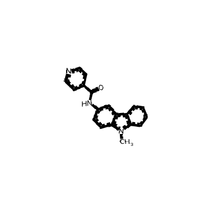 Cn1c2ccccc2c2cc(NC(=O)c3ccncc3)ccc21